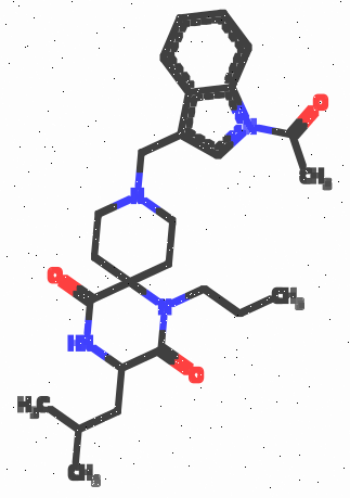 CCCN1C(=O)C(CC(C)C)NC(=O)C12CCN(Cc1cn(C(C)=O)c3ccccc13)CC2